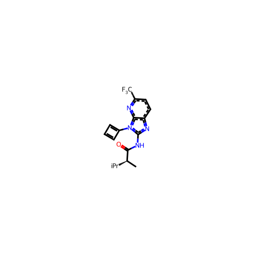 CC(C)[C@H](C)C(=O)Nc1nc2ccc(C(F)(F)F)nc2n1C1=CC=C1